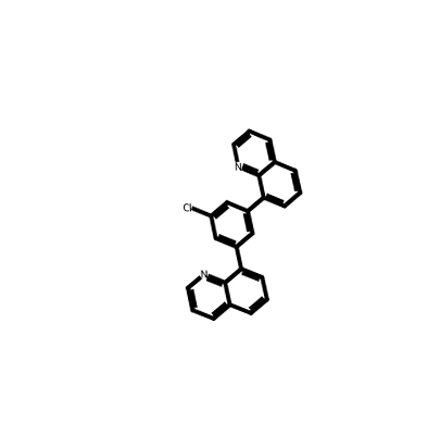 Clc1cc(-c2cccc3cccnc23)cc(-c2cccc3cccnc23)c1